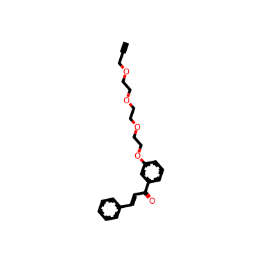 C#CCOCCOCCOCCOc1cccc(C(=O)C=Cc2ccccc2)c1